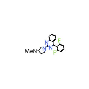 CNC1CCN(c2nc(-c3c(F)cccc3F)c3ccccc3n2)C1